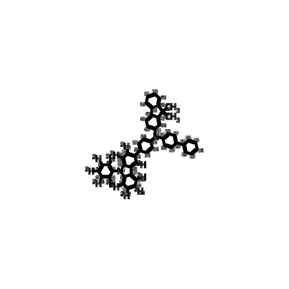 [2H]c1c([2H])c([2H])c(-n2c3c([2H])c([2H])c([2H])c([2H])c3c3c([2H])c(-c4ccc(N(c5ccc(-c6ccccc6)cc5)c5ccc6c(c5)C(C)(C)c5ccccc5-6)cc4)c([2H])c([2H])c32)c([2H])c1[2H]